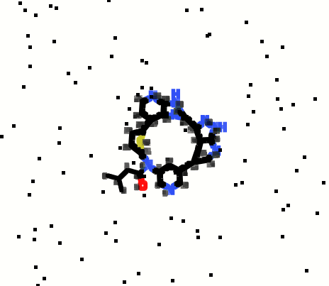 CC(C)CC(=O)n1c2cncc(c2)c2cnc3[nH]nc(c4nc5c(nccc5c5ccc1s5)[nH]4)c3c2